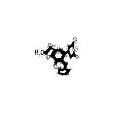 Cc1oc2c(C)c(Cc3ccccc3)c(C3CC(=O)NC(=O)C3)cc2c1C